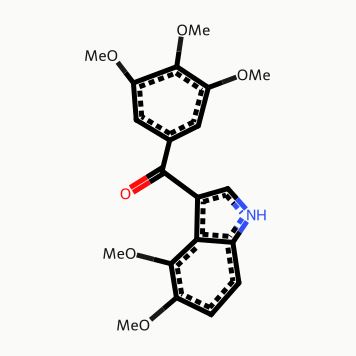 COc1cc(C(=O)c2c[nH]c3ccc(OC)c(OC)c23)cc(OC)c1OC